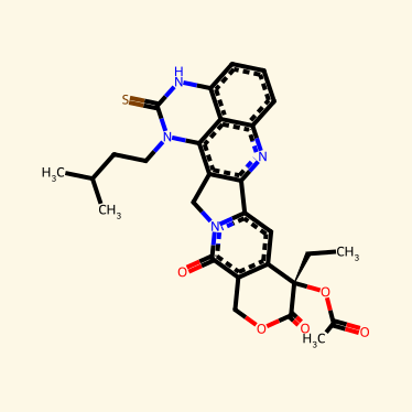 CC[C@@]1(OC(C)=O)C(=O)OCc2c1cc1n(c2=O)Cc2c-1nc1cccc3c1c2N(CCC(C)C)C(=S)N3